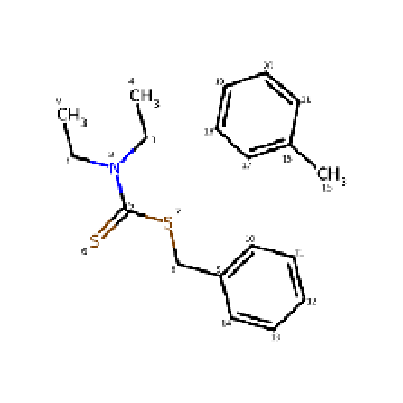 CCN(CC)C(=S)SCc1ccccc1.Cc1ccccc1